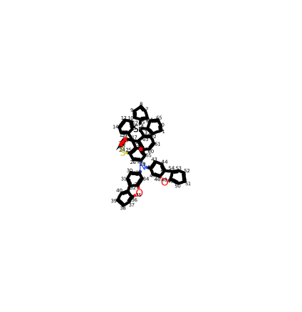 c1ccc([Si]2(c3ccccc3)c3ccccc3C3(c4ccccc4Sc4cc(N(c5ccc6c(c5)oc5ccccc56)c5ccc6c(c5)oc5ccccc56)ccc43)c3ccccc32)cc1